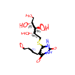 O=C/C=C/c1c(SC[C@H](O)[C@H](O)[C@H](O)CO)[nH]c(=O)[nH]c1=O